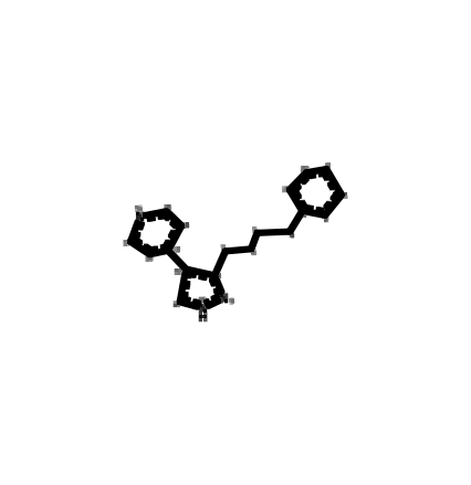 c1ccc(CCCCc2n[nH]cc2-c2ccncc2)cc1